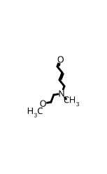 COCCN(C)C/C=C/C=O